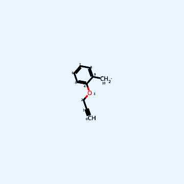 C#CCOc1ccccc1[CH2]